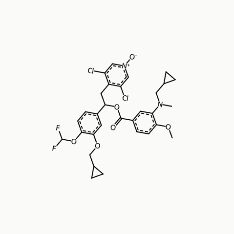 COc1ccc(C(=O)OC(Cc2c(Cl)c[n+]([O-])cc2Cl)c2ccc(OC(F)F)c(OCC3CC3)c2)cc1N(C)CC1CC1